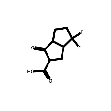 O=C(O)C1CC2C(CCC2(F)F)C1=O